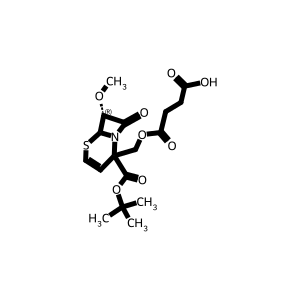 CO[C@@H]1C(=O)N2C1SC=CC2(COC(=O)CCC(=O)O)C(=O)OC(C)(C)C